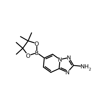 CC1(C)OB(c2ccc3nc(N)nn3c2)OC1(C)C